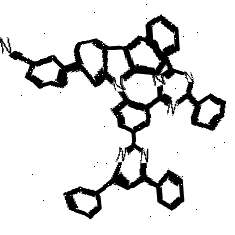 N#Cc1cccc(-c2ccc3c4ccccc4n(-c4ccc(-c5nc(-c6ccccc6)cc(-c6ccccc6)n5)cc4-c4nc(-c5ccccc5)nc(-c5ccccc5)n4)c3c2)c1